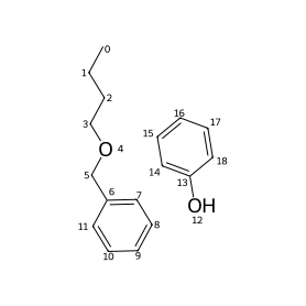 CCCCOCc1ccccc1.Oc1ccccc1